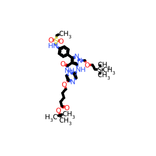 CCS(=O)(=O)Nc1ccc(-c2nn(COCC[Si](C)(C)C)c(Nc3cnc(OCCCCC(=O)OC(C)(C)C)cn3)c2C(N)=O)cc1